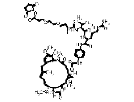 COc1cc2cc(c1Cl)N(C)C(=O)C[C@H](OC(=O)Nc1ccc(NC(=O)[C@H](CCCNC(N)=O)NC(=O)[C@@H](NC(=S)NCCOCCOCCC(=O)ON3C(=O)CCC3=O)C(C)C)cc1)[C@]1(C)C[C@H]1[C@H](C)[C@@H]1C[C@@](O)(NC(=O)O1)[C@H](OC)/C=C/C=C(\C)C2